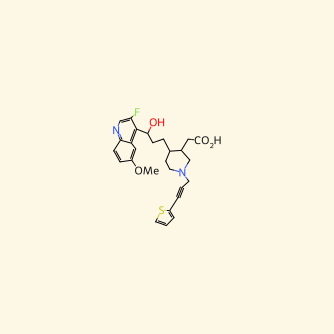 COc1ccc2ncc(F)c(C(O)CCC3CCN(CC#Cc4cccs4)CC3CC(=O)O)c2c1